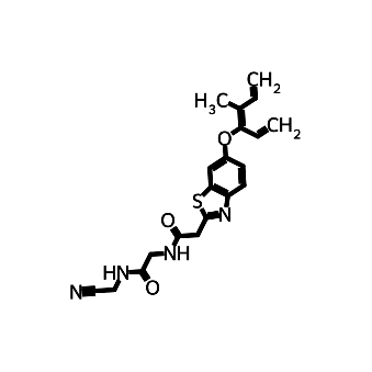 C=C/C(C)=C(\C=C)Oc1ccc2nc(CC(=O)NCC(=O)NCC#N)sc2c1